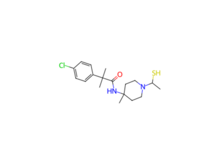 CC(S)N1CCC(C)(NC(=O)C(C)(C)c2ccc(Cl)cc2)CC1